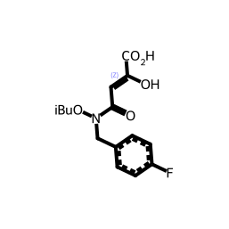 CC(C)CON(Cc1ccc(F)cc1)C(=O)/C=C(\O)C(=O)O